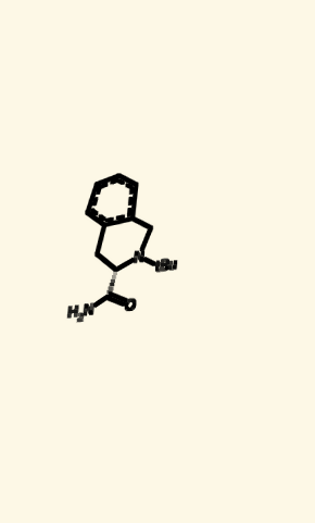 CC(C)(C)N1Cc2ccccc2C[C@H]1C(N)=O